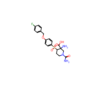 NC(=O)N1CCC(S(=O)(=O)c2ccc(OCc3ccc(F)cc3)cc2)C(N)(C(=O)O)C1